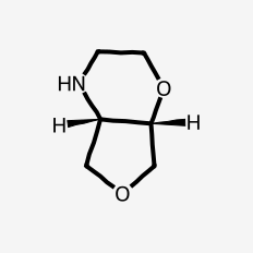 C1CO[C@@H]2COC[C@@H]2N1